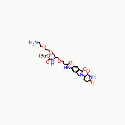 CC(C)(C)OC(=O)NC(COCCOCCN)COCCC(=O)Nc1ccc2c(c1)CN(C1CCC(=O)NC1=O)C2=O